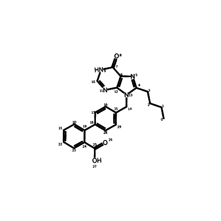 CCCCc1nc2c(=O)[nH]cnc2n1Cc1ccc(-c2ccccc2C(=O)O)cc1